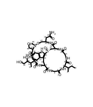 CCC(C)C1NC(=O)CNC(=O)C2Cc3c([nH]c4cc(O)ccc34)[S+]([O-])CC(NC(=O)CNC1=O)C(=O)NC(CC(N)=O)CON(C)C(CO)C(=O)NC(C(C)C(O)CO)C(=O)N2